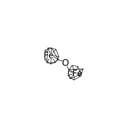 O([C]12[CH]3[CH]4[CH]5[CH]1[Fe]45321678[CH]2[CH]1[CH]6[CH]7[CH]28)[C]12[CH]3[CH]4[CH]5[CH]1[Fe]45321678[CH]2[CH]1[CH]6[CH]7[CH]28